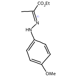 CCOC(=O)/C(C)=N/Nc1ccc(OC)cc1